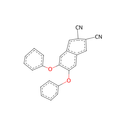 N#Cc1cc2cc(Oc3ccccc3)c(Oc3ccccc3)cc2cc1C#N